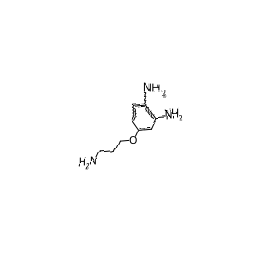 NCCCOc1ccc(N)c(N)c1